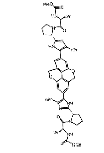 CCCc1nc([C@@H]2CCCN2C(=O)[C@@H](NC(=O)OC)C(C)C)[nH]c1-c1cc2c3c(c1)OCc1cc(-c4[nH]c([C@@H]5CCCN5C(=O)[C@@H](NC(=O)OC)C(C)C)nc4CCC)cc(c1-3)OC2